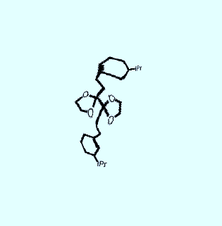 CC(C)C1C=C(CCC2(C3(CCC4=CCCC(C(C)C)C4)OCCO3)OCCO2)CCC1